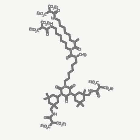 CCOC(=O)C(C(=O)NCCCCCCN(C)C(=O)N(CCCCCCNC(=O)C(C(=O)OCC)C(=O)OCC)C(=O)N(C=O)CCCCCCn1c(=O)n(C2CC(C)(C)CC(C)(CNC(=O)C(C(=O)OCC)C(=O)OCC)C2)c(=O)n(C2CC(C)(C)CC(C)(CNC(=O)C(C(=O)OCC)C(=O)OCC)C2)c1=O)C(=O)OCC